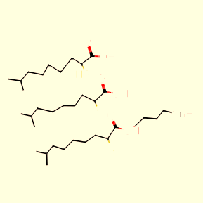 CC(C)CCCCCC(S)C(=O)O.CC(C)CCCCCC(S)C(=O)O.CC(C)CCCCCC(S)C(=O)O.CCC[CH2][SnH]